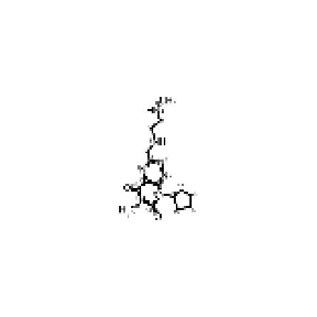 CNCCNCc1nnc2c(n1)c(=O)n(C)c(=O)n2C1CCCC1